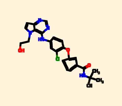 CC(C)(C#N)NC(=O)c1cccc(Oc2ccc(Nc3ncnc4ccn(CCO)c34)cc2Cl)c1